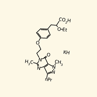 CCCc1nn(C)c2c(=O)n(CCOc3ccc(CC(OCC)C(=O)O)cc3)c(C)nc12.[KH]